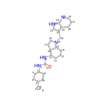 O=C(Nc1ccc(C(F)(F)F)cc1)Nc1cccc2c1ccn2Cc1c[nH]c2ncccc12